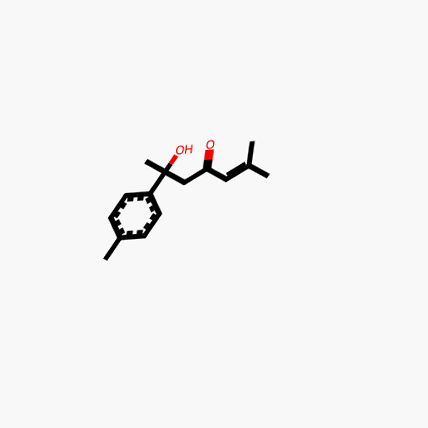 CC(C)=CC(=O)CC(C)(O)c1ccc(C)cc1